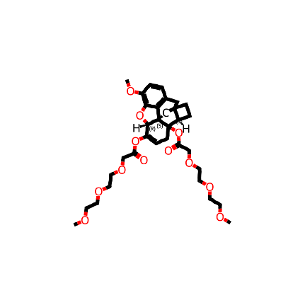 COCCOCCOCC(=O)OC1=CCC2(OC(=O)COCCOCCOC)[C@@H]3CCC34Cc3ccc(OC)c5c3[C@@]2(C4)[C@H]1O5